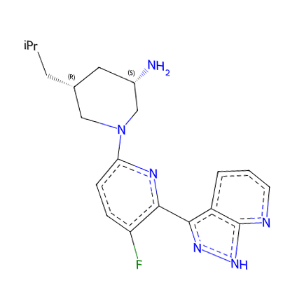 CC(C)C[C@@H]1C[C@H](N)CN(c2ccc(F)c(-c3n[nH]c4ncccc34)n2)C1